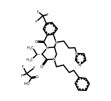 CC(C)[C@H]1C(=O)N(CCCCc2ccccc2)CC2N(CCCn3ccnc3)c3ccc(C(F)(F)F)cc3C(=O)N21.O=C(O)C(F)(F)F